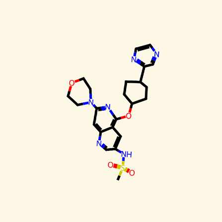 CS(=O)(=O)Nc1cnc2cc(N3CCOCC3)nc(OC3CCC(c4cnccn4)CC3)c2c1